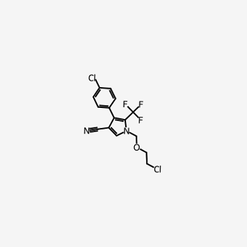 N#Cc1cn(COCCCl)c(C(F)(F)F)c1-c1ccc(Cl)cc1